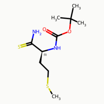 CSCC[C@H](NC(=O)OC(C)(C)C)C(N)=S